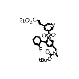 CCOC(=O)/C=C/c1cncc(S(=O)(=O)n2cc(CN(C)C(=O)OC(C)(C)C)cc2C2CC=CC=C2F)c1